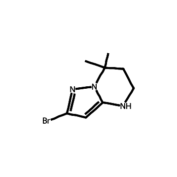 CC1(C)CCNc2cc(Br)nn21